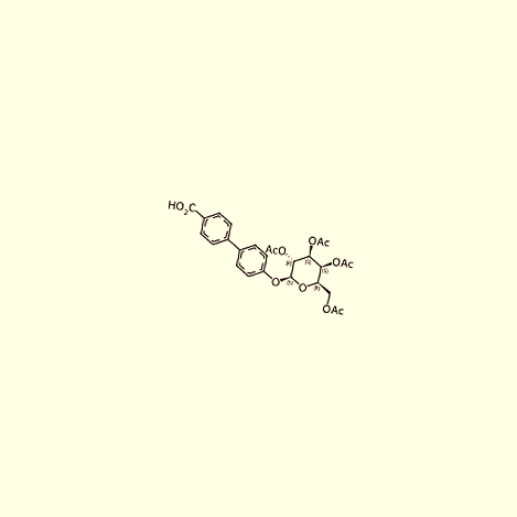 CC(=O)OC[C@H]1O[C@@H](Oc2ccc(-c3ccc(C(=O)O)cc3)cc2)[C@H](OC(C)=O)[C@@H](OC(C)=O)[C@H]1OC(C)=O